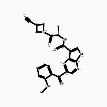 CNc1ccccc1C(=N)c1cnc2[nH]cc(C(=O)N[C@H](C)C(=O)N3CC(C#N)C3)c2n1